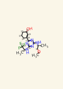 COC[C@H](C)Nc1nc(N[C@H](C)C(F)(F)F)nc(C2=CC(O)CCC2)n1